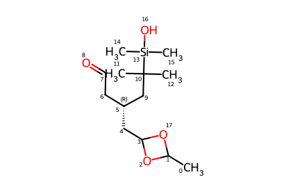 CC1OC(C[C@H](CC=O)CC(C)(C)[Si](C)(C)O)O1